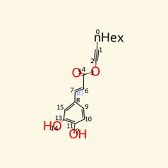 CCCCCCC#COC(=O)/C=C/c1ccc(O)c(O)c1